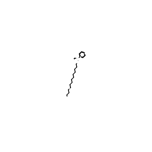 CCCCCCCCCCCCCCON(C=O)c1ccccc1